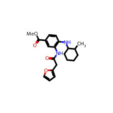 COC(=O)c1ccc(NC2CCCCC2C)c(NC(=O)Cc2ccco2)c1